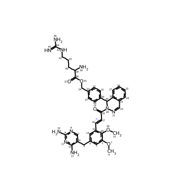 COc1cc(Cc2cnc(N)nc2N)cc(/C=C/C(=O)N2N=Cc3ccccc3C2c2ccc(COC(=O)C(N)CCCNC(=N)N)cc2)c1OC